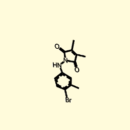 CC1=C(C)C(=O)N(Nc2ccc(Br)c(C)c2)C1=O